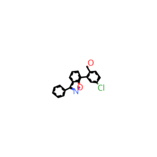 O=Cc1ccc(Cl)cc1-c1cccc2c(-c3ccccc3)noc12